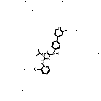 Cc1cc(-c2ccc(Nc3nc(Oc4ccccc4Cl)n(C(C)C)n3)cc2)ccn1